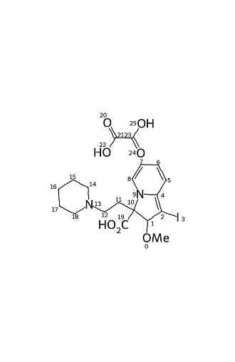 COC1C(I)=C2C=CC=CN2C1(CCN1CCCCC1)C(=O)O.O=C(O)C(=O)O